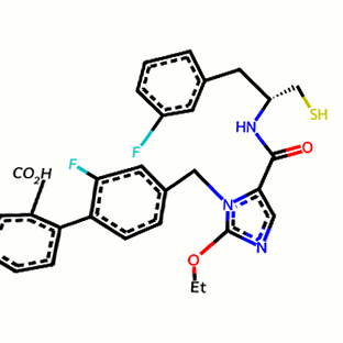 CCOc1ncc(C(=O)N[C@@H](CS)Cc2cccc(F)c2)n1Cc1ccc(-c2ccccc2C(=O)O)c(F)c1